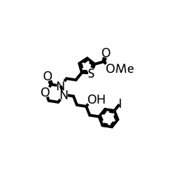 COC(=O)c1ccc(CCN2C(=O)OCCN2CCC(O)Cc2cccc(I)c2)s1